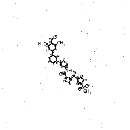 Cc1cc(-c2cccc(-c3csc(NC(=O)[C@@H]4CCN4C(=O)c4ccn(S(C)(=O)=O)c4)n3)c2)cc(C)c1C=O